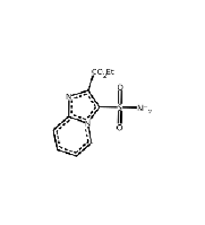 CCOC(=O)c1nc2ccccn2c1S(N)(=O)=O